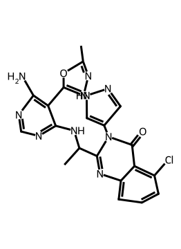 Cc1nnc(-c2c(N)ncnc2NC(C)c2nc3cccc(Cl)c3c(=O)n2-c2cn[nH]c2)o1